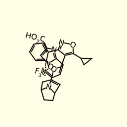 O=C(O)c1cn2nc(N3C4C=C(OCc5c(-c6ccccc6OC(F)(F)F)noc5C5CC5)CC3CC4)ccc2n1